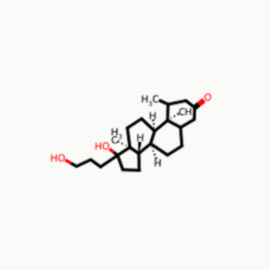 CC1CC(=O)CC2CC[C@@H]3[C@@H](CC[C@@]4(C)[C@H]3CCC4(O)CCCO)[C@@]12C